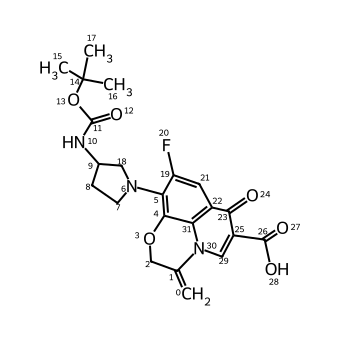 C=C1COc2c(N3CCC(NC(=O)OC(C)(C)C)C3)c(F)cc3c(=O)c(C(=O)O)cn1c23